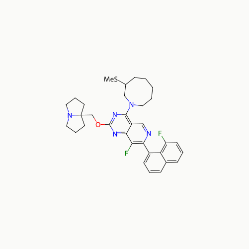 CSC1CCCCCN(c2nc(OCC34CCCN3CCC4)nc3c(F)c(-c4cccc5cccc(F)c45)ncc23)C1